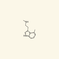 CNCCc1c[nH]c2cccc(C)c12